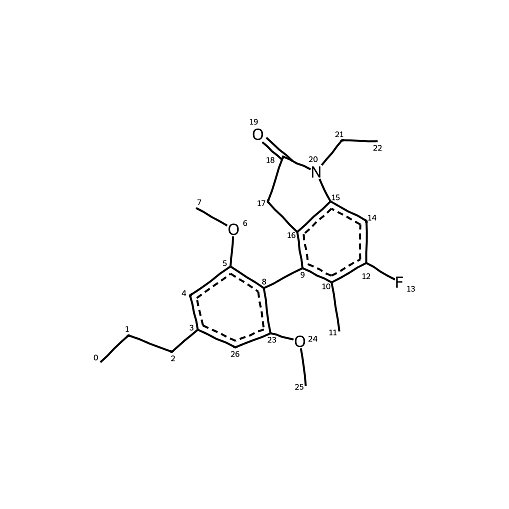 CCCc1cc(OC)c(-c2c(C)c(F)cc3c2CC(=O)N3CC)c(OC)c1